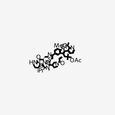 C=CC(=O)N1CCC(C(=O)N(C)[C@H](C(=O)N[C@@H](Cc2nc(-c3ccc4c(c3)c(CC(C)(C)COC(C)=O)c(-c3cccnc3[C@H](C)OC)n4CC)cs2)C(=O)N2CCCCN2)C(C)C)C1